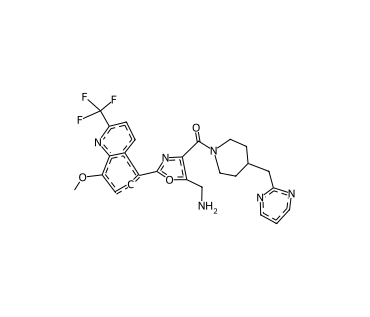 COc1ccc(-c2nc(C(=O)N3CCC(Cc4ncccn4)CC3)c(CN)o2)c2ccc(C(F)(F)F)nc12